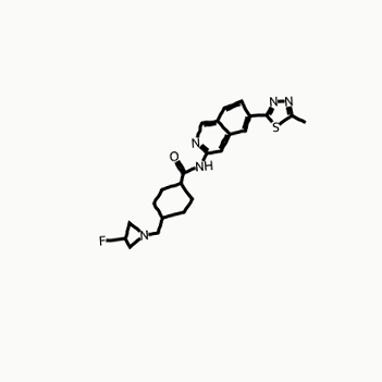 Cc1nnc(-c2ccc3cnc(NC(=O)C4CCC(CN5CC(F)C5)CC4)cc3c2)s1